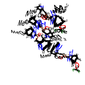 COc1ccc2[nH]c([S@@+]([O-])Cc3ncc(C)c(OC)c3C)nc2c1.COc1ccc2[nH]c([S@@+]([O-])Cc3ncc(C)c(OC)c3C)nc2c1.COc1ccnc(C[S+]([O-])c2nc3cc(OC(F)F)ccc3[nH]2)c1OC.COc1ccnc(C[S+]([O-])c2nc3cc(OC(F)F)ccc3[nH]2)c1OC.[Mg+2].[Na+].[Na+]